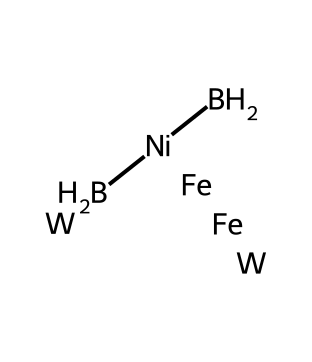 [BH2][Ni][BH2].[Fe].[Fe].[W].[W]